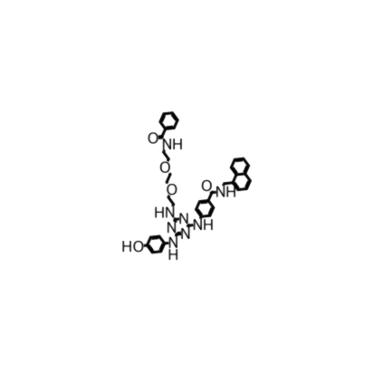 O=C(NCCOCCOCCNc1nc(Nc2ccc(O)cc2)nc(Nc2ccc(C(=O)NCc3cccc4ccccc34)cc2)n1)c1ccccc1